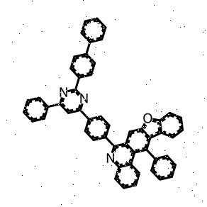 c1ccc(-c2ccc(-c3nc(-c4ccccc4)cc(-c4ccc(-c5nc6ccccc6c6c(-c7ccccc7)c7c(cc56)oc5ccccc57)cc4)n3)cc2)cc1